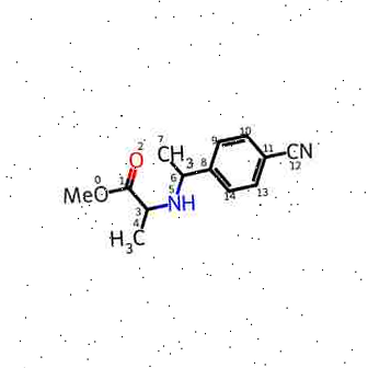 COC(=O)C(C)NC(C)c1ccc(C#N)cc1